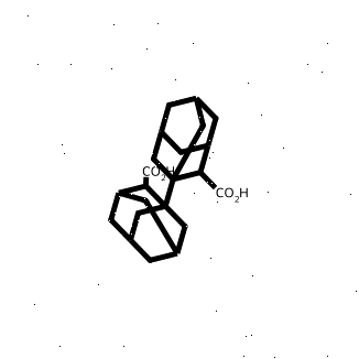 O=C(O)C1C2CC3CC(C2)CC1(C12CC4CC(CC(C4)C1C(=O)O)C2)C3